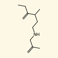 C=C(C)CNCCC(C)C(=C)CC